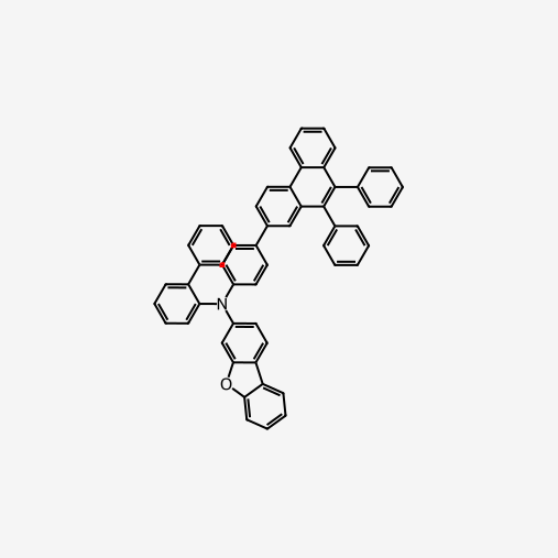 c1ccc(-c2ccccc2N(c2ccc(-c3ccc4c(c3)c(-c3ccccc3)c(-c3ccccc3)c3ccccc34)cc2)c2ccc3c(c2)oc2ccccc23)cc1